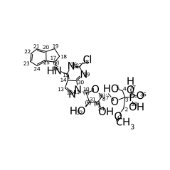 COCC(CO)(OC[C@H]1O[C@@H](n2ncc3c(N[C@@H]4CCc5ccccc54)nc(Cl)nc32)[C@H](O)[C@@H]1O)P(=O)(O)O